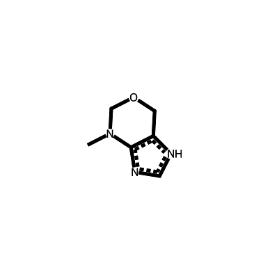 CN1COCc2[nH]cnc21